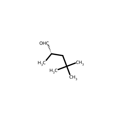 C[C@H](C=O)CC(C)(C)C